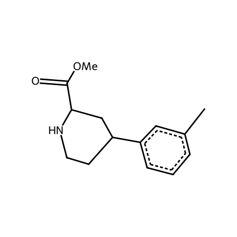 COC(=O)C1CC(c2cccc(C)c2)CCN1